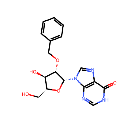 O=c1[nH]cnc2c1ncn2[C@@H]1O[C@H](CO)[C@@H](O)[C@@H]1OCc1ccccc1